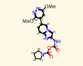 COc1cc(-c2ccc3nc(NC(=O)OC(=O)N4CCCC4)cn3c2)c(OC)nn1